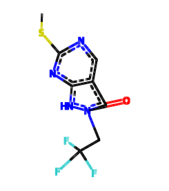 CSc1ncc2c(=O)n(CC(F)(F)F)[nH]c2n1